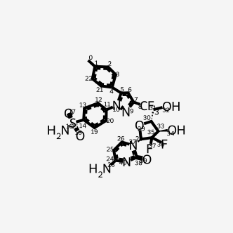 Cc1ccc(-c2cc(C(F)(F)F)nn2-c2ccc(S(N)(=O)=O)cc2)cc1.Nc1ccn([C@@H]2O[C@H](CO)[C@@H](O)C2(F)F)c(=O)n1